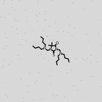 CCCCN(CCCC)CN1C(=O)C(C)(C)N(CN(CCCC)CCCC)C1=S